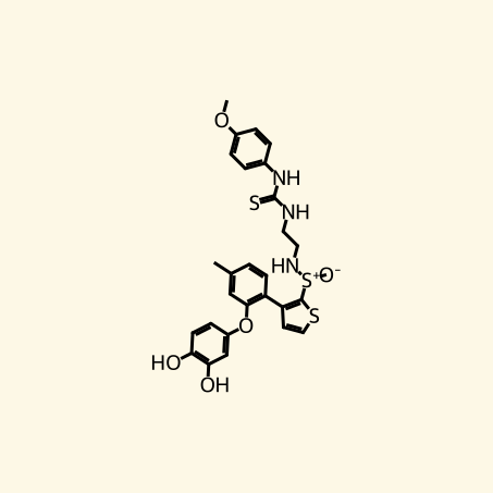 COc1ccc(NC(=S)NCCN[S+]([O-])c2sccc2-c2ccc(C)cc2Oc2ccc(O)c(O)c2)cc1